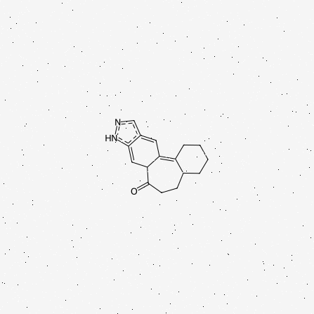 O=C1CCC2CCCCC2=C2C=c3cn[nH]c3=CC12